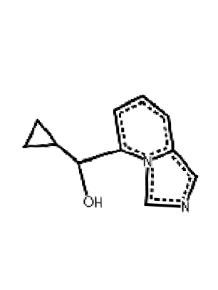 OC(c1cccc2cncn12)C1CC1